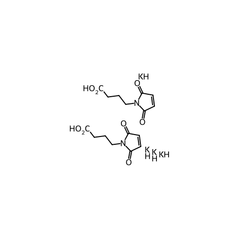 O=C(O)CCCN1C(=O)C=CC1=O.O=C(O)CCCN1C(=O)C=CC1=O.[KH].[KH].[KH].[KH]